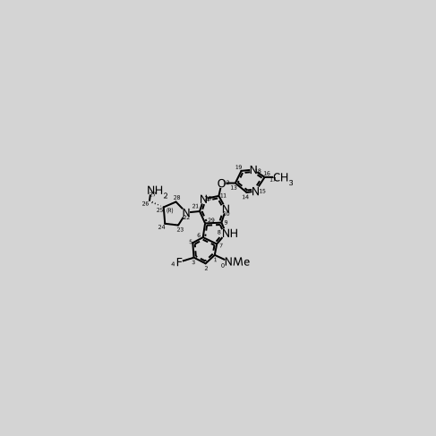 CNc1cc(F)cc2c1[nH]c1nc(Oc3cnc(C)nc3)nc(N3CC[C@H](CN)C3)c12